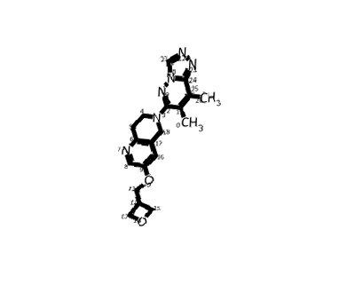 Cc1c(N2CCc3ncc(OCC4COC4)cc3C2)nn2cnnc2c1C